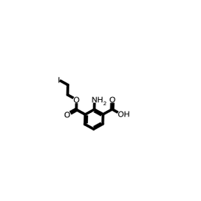 Nc1c(C(=O)O)cccc1C(=O)OCCI